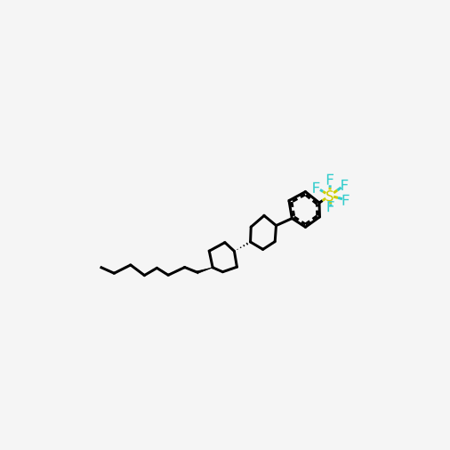 CCCCCCCC[C@H]1CC[C@H](C2CCC(c3ccc(S(F)(F)(F)(F)F)cc3)CC2)CC1